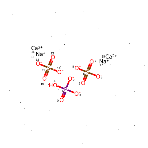 O=P([O-])([O-])O.O=S(=O)([O-])[O-].O=S(=O)([O-])[O-].[Ca+2].[Ca+2].[Na+].[Na+]